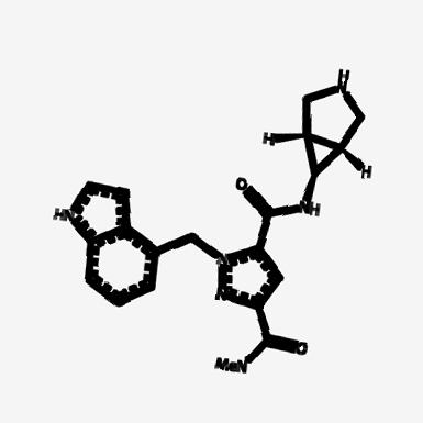 CNC(=O)c1cc(C(=O)N[C@H]2[C@@H]3CNC[C@@H]32)n(Cc2cccc3[nH]ccc23)n1